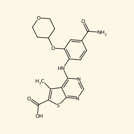 Cc1c(C(=O)O)sc2ncnc(Nc3ccc(C(N)=O)cc3OC3CCOCC3)c12